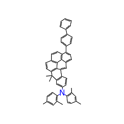 Cc1ccc(N(c2ccc3c(c2)C(C)(C)c2ccc4ccc5c(-c6ccc(-c7ccccc7)cc6)ccc6cc-3c2c4c65)c2ccc(C)cc2C)c(C)c1